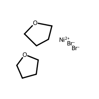 C1CCOC1.C1CCOC1.[Br-].[Br-].[Ni+2]